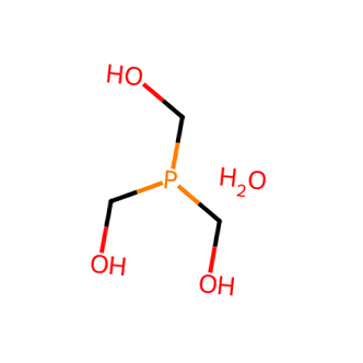 O.OCP(CO)CO